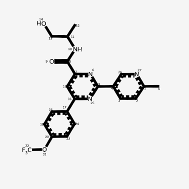 Cc1ccc(-c2nc(C(=O)NC(C)CO)cc(-c3ccc(OC(F)(F)F)cc3)n2)cn1